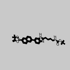 C=C1OB(c2ccc3cc(-c4ccc5nc(CCCCNC(=O)OC(C)(C)C)[nH]c5c4)ccc3c2)OC1(C)C